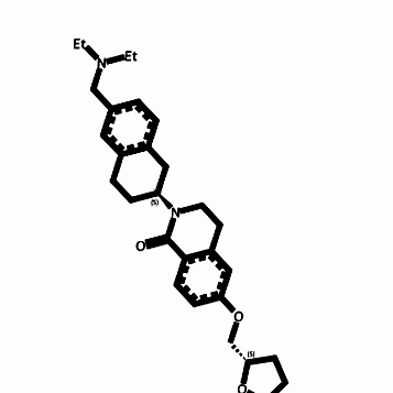 CCN(CC)Cc1ccc2c(c1)CC[C@H](N1CCc3cc(OC[C@@H]4CCCO4)ccc3C1=O)C2